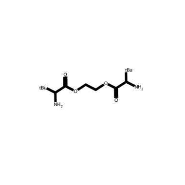 CC(C)(C)C(N)C(=O)OCCOC(=O)C(N)C(C)(C)C